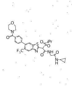 CC(C)S(=O)(=O)C(C(=O)NCC(=O)NC1CC1)c1nc2cc(C(F)(F)F)c(-c3ccc(C(=O)N4CCOCC4)cc3)cc2s1